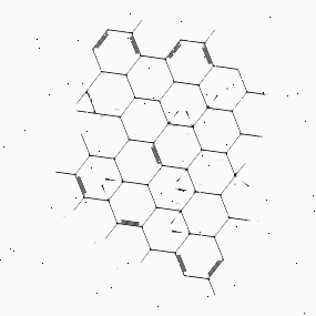 CC(=O)C1=C2C(C(=O)O)C3=CC(O)=CC4C(O)C5[C@@]67O[C@]68C6=C9[C@]%10%11O[C@]%10%12C%10C%13C(=C(C(=O)O)C=CC%13[C@]%13(C(=O)O)O[C@]%12%13CC%12C(C(=O)O)=C(O)[C@@]1%13O[C@]%13(C6C2[C@]71O[C@]341)C%12%11)C1=CC(C(=O)O)=C2CC(O)C3C(C(=O)O)[C@]4(O[C@]54C(=O)O)C8[C@]45O[C@]94C%10C1C2[C@]35O